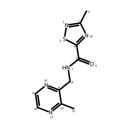 Cc1nsc(C(=O)NCc2nccnc2C)n1